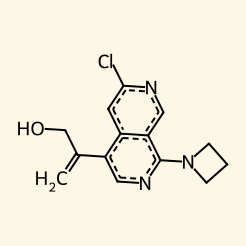 C=C(CO)c1cnc(N2CCC2)c2cnc(Cl)cc12